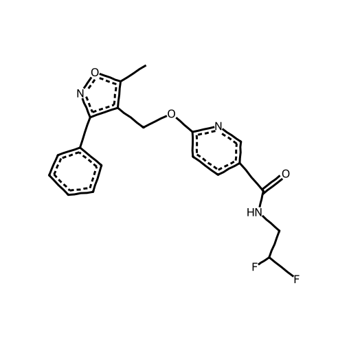 Cc1onc(-c2ccccc2)c1COc1ccc(C(=O)NCC(F)F)cn1